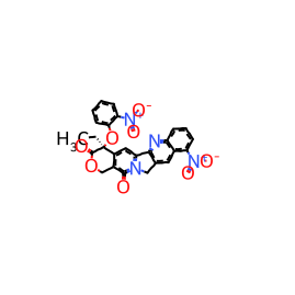 CC[C@@]1(Oc2ccccc2[N+](=O)[O-])C(=O)OCc2c1cc1n(c2=O)Cc2cc3c([N+](=O)[O-])cccc3nc2-1